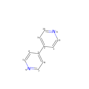 [c]1cc(-c2c[c]ncc2)ccn1